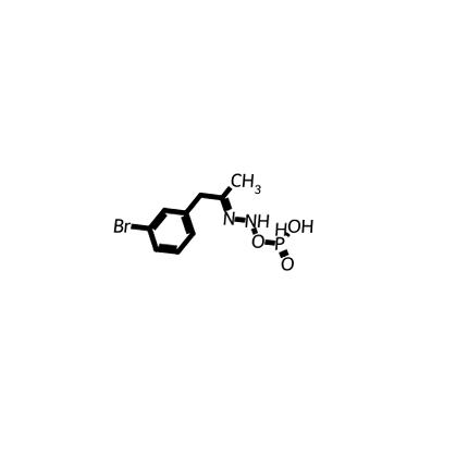 CC(Cc1cccc(Br)c1)=NNO[PH](=O)O